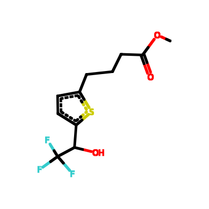 COC(=O)CCCc1ccc(C(O)C(F)(F)F)s1